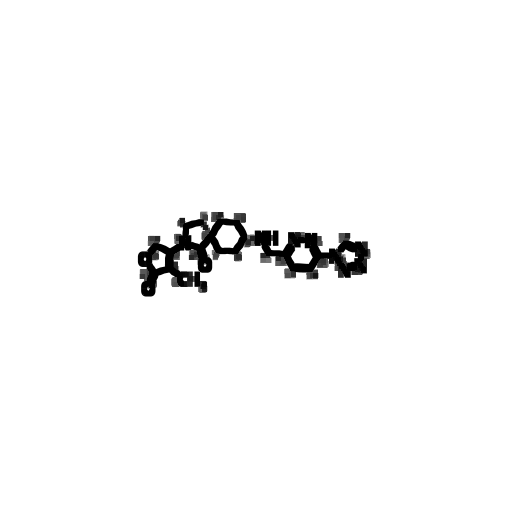 CC1=C(N2CC[C@]3(CC[C@@H](NCc4ccc(-n5cnnn5)nn4)CC3)C2=O)COC1=O